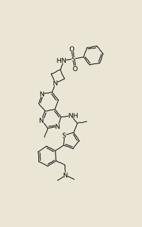 Cc1nc(NC(C)c2ccc(-c3ccccc3CN(C)C)s2)c2cc(N3CC(NS(=O)(=O)c4ccccc4)C3)ncc2n1